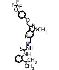 CC(C)c1ccccc1NC(=S)N/N=C/c1cc2c(cn1)c(COc1ccc(OC(F)(F)F)cc1)nn2C